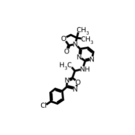 CC(Nc1nccc(N2C(=O)OCC2(C)C)n1)c1nc(-c2ccc(Cl)cc2)no1